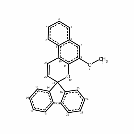 COc1cc2ccccc2c2c1OC(c1ccccc1)(c1ccccc1)C=C2